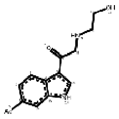 CC(=O)c1ccc2c(C(=O)CNCCO)c[nH]c2c1